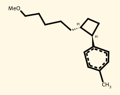 COCCCCC[C@@H]1CC[C@H]1c1ccc(C)cc1